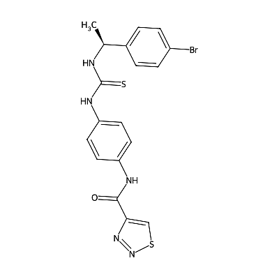 C[C@H](NC(=S)Nc1ccc(NC(=O)c2csnn2)cc1)c1ccc(Br)cc1